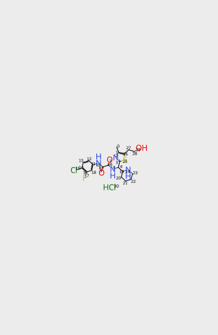 Cc1nc(C(NC(=O)C(=O)Nc2ccc(Cl)c(F)c2)C2CCCCN2)sc1CCO.Cl